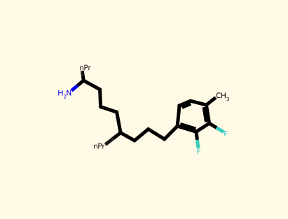 CCCC(N)CCCC(CCC)CCCc1ccc(C)c(F)c1F